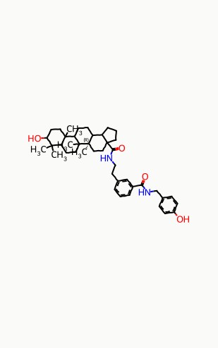 CC1(C)C(O)CCC2(C)C1CCC1(C)C2CCC2C3CCCC3(C(=O)NCCc3cccc(C(=O)NCc4ccc(O)cc4)c3)CC[C@]21C